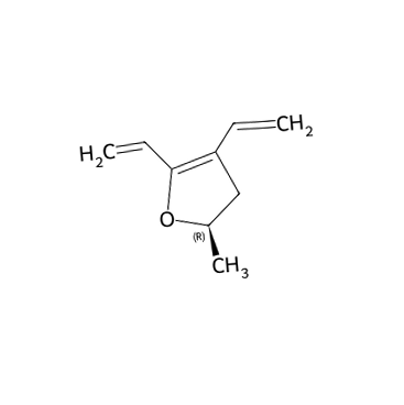 C=CC1=C(C=C)O[C@H](C)C1